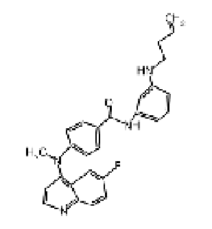 C=CCCNc1cccc(NC(=O)c2ccc(N(C)c3ccnc4ccc(F)cc34)cc2)c1